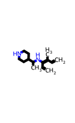 C=C/C(C)=C(\C=C)NC(C)C1CCNCC1